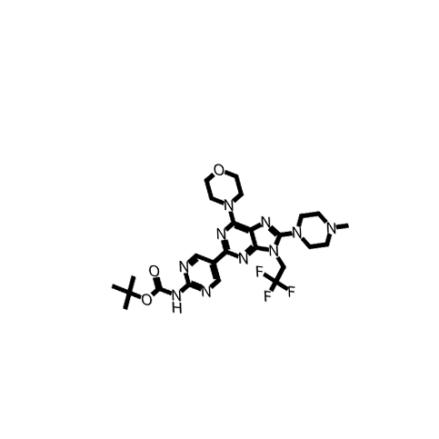 CN1CCN(c2nc3c(N4CCOCC4)nc(-c4cnc(NC(=O)OC(C)(C)C)nc4)nc3n2CC(F)(F)F)CC1